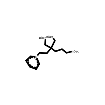 CCCCCCCCCCCCCC(CCCCCCCCCCC)(CCCCCCCCCCC)CC[n+]1ccccc1